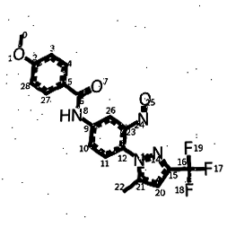 COc1ccc(C(=O)Nc2ccc(-n3nc(C(F)(F)F)cc3C)c(N=O)c2)cc1